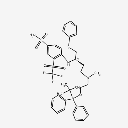 CN(CCO[Si](c1ccccc1)(c1ccccc1)C(C)(C)C)CC[C@H](CSc1ccccc1)Nc1ccc(S(N)(=O)=O)cc1S(=O)(=O)C(F)(F)F